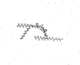 CCCCCCCCCCC(CCCCCCCC)CSCCC(=O)OCC(C)(C)COC(=O)CCSCC(CCCCCCCC)CCCCCCCCCC